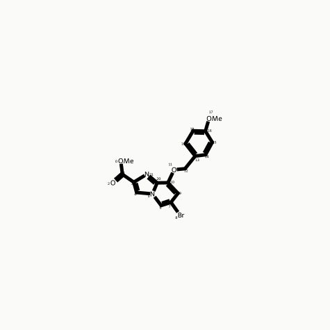 COC(=O)c1cn2cc(Br)cc(OCc3ccc(OC)cc3)c2n1